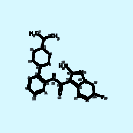 CC(C)N1CCN(c2ccncc2NC(=O)c2c(N)nn3c2N=CC(F)C3)CC1